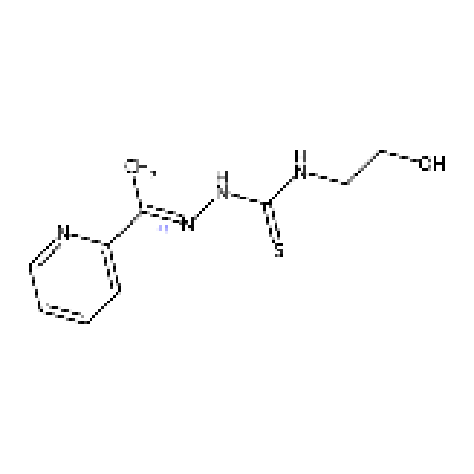 C/C(=N\NC(=S)NCCO)c1ccccn1